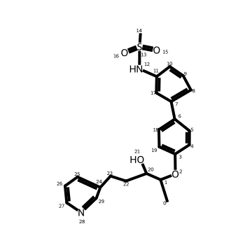 CC(Oc1ccc(-c2cccc(NS(C)(=O)=O)c2)cc1)C(O)CCc1cccnc1